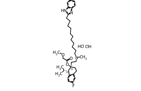 COCC(=O)O[C@]1(CCN(C)CCCCCCCCCCCc2nc3ccccc3[nH]2)CCc2cc(F)ccc2[C@@H]1C(C)C.Cl.Cl